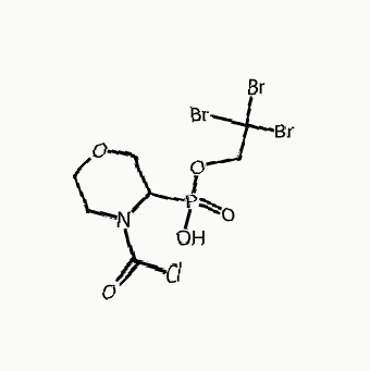 O=C(Cl)N1CCOCC1P(=O)(O)OCC(Br)(Br)Br